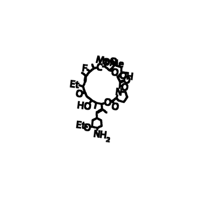 CCOC1CC(C=C(C)C2OC(=O)C3CCCCN3C(=O)C(=O)C3(O)OC(C(OC)CC(C)C(F)/C(C)=C/C(CC)C(=O)CC(O)C2C)C(OC)CC3C)CCC1N